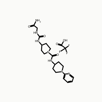 NC(=O)CNC(=O)NC1CCN(C(=O)NC2CCN(c3ccccn3)CC2)CC1.O=C(O)C(F)(F)F